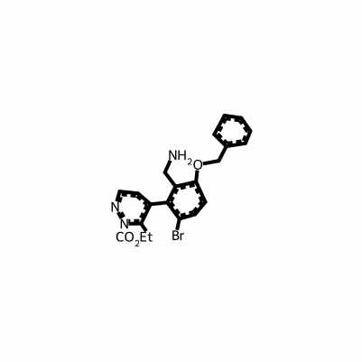 CCOC(=O)c1nnccc1-c1c(Br)ccc(OCc2ccccc2)c1CN